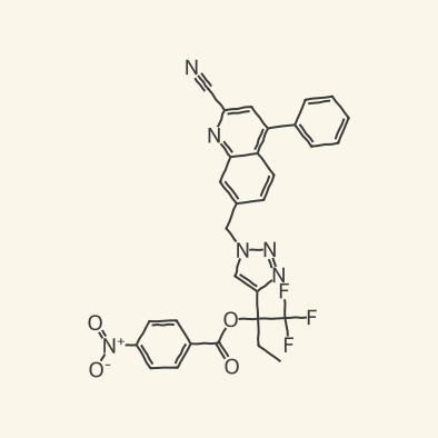 CCC(OC(=O)c1ccc([N+](=O)[O-])cc1)(c1cn(Cc2ccc3c(-c4ccccc4)cc(C#N)nc3c2)nn1)C(F)(F)F